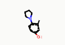 Cc1cc(O)ccc1N1CCCC1